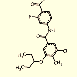 CCC(CC)Oc1cc(C(=O)Nc2ccc(C(=O)O)c(F)c2)cc(Cl)c1C